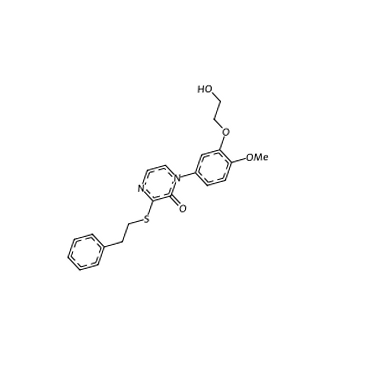 COc1ccc(-n2ccnc(SCCc3ccccc3)c2=O)cc1OCCO